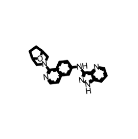 c1cnc2c(Nc3ccc4c(N5CC6CCC(C5)O6)nccc4c3)n[nH]c2c1